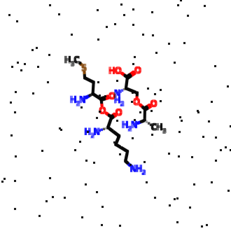 CSCC[C@H](N)C(=O)OC(=O)[C@@H](N)CCCCN.C[C@H](N)C(=O)OC[C@H](N)C(=O)O